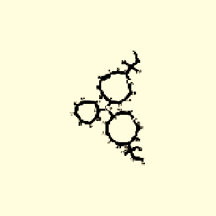 CCC(C)(C)C1C/C=C\CCC(N(C2CCCCCCC2)C2CCCCCC(C(C)(C)CC)CCCC2)CCCC1